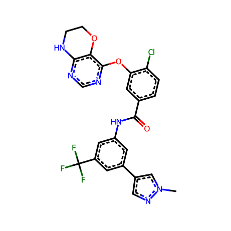 Cn1cc(-c2cc(NC(=O)c3ccc(Cl)c(Oc4ncnc5c4OCCN5)c3)cc(C(F)(F)F)c2)cn1